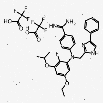 CCOc1cc(OC(C)C)c(F)c(N(Cc2nc(-c3ccccc3)c[nH]2)c2ccc(C(=N)N)cc2)c1.O=C(O)C(F)(F)F.O=C(O)C(F)(F)F